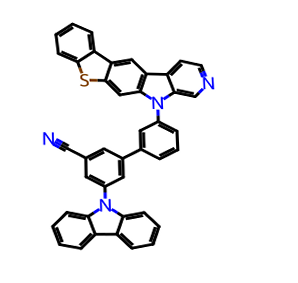 N#Cc1cc(-c2cccc(-n3c4cnccc4c4cc5c(cc43)sc3ccccc35)c2)cc(-n2c3ccccc3c3ccccc32)c1